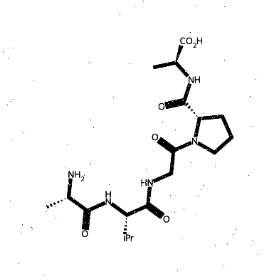 CC(C)[C@H](NC(=O)[C@H](C)N)C(=O)NCC(=O)N1CCC[C@H]1C(=O)N[C@@H](C)C(=O)O